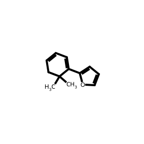 CC1(C)CC=CC=C1c1ccco1